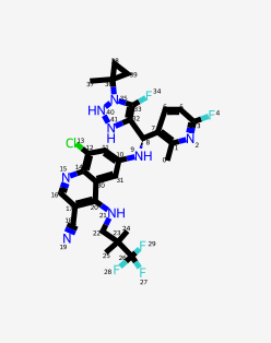 Cc1nc(F)ccc1[C@H](Nc1cc(Cl)c2ncc(C#N)c(NCC(C)(C)C(F)(F)F)c2c1)C1=C(F)N(C2(C)CC2)NN1